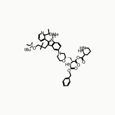 CCn1c(-c2cccnc2[C@H](C)OC)c(CC(C)(C)CO[Si](C)(C)C(C)(C)C)c2cc(N3CCO[C@@H](C[C@H](NC(=O)OCc4ccccc4)C(=O)OC(=O)C4CCCNN4)C3)ccc21